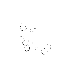 O=C(Cc1cccc2ccccc12)Nc1cccc2cc(C(=O)Nc3ccc(Cl)cc3-c3noc(=O)[nH]3)[nH]c12